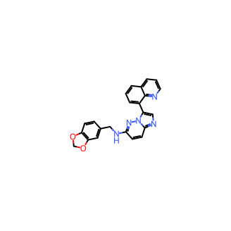 c1cnc2c(-c3cnc4ccc(NCc5ccc6c(c5)OCO6)nn34)cccc2c1